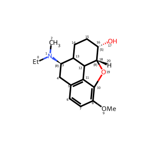 CCN(C)[C@@H]1Cc2ccc(OC)c3c2C2C1CC[C@H](O)[C@@H]2O3